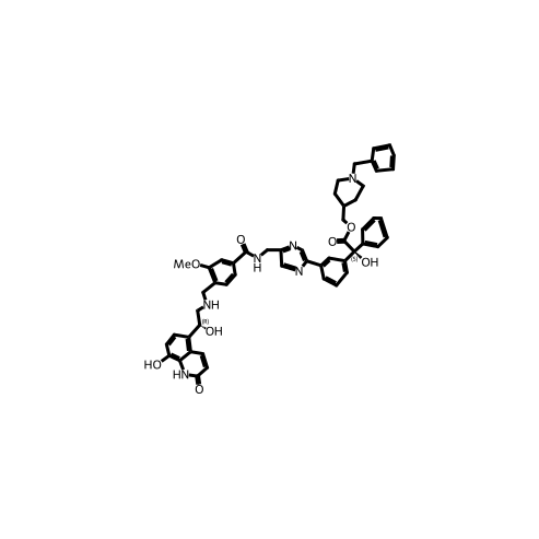 COc1cc(C(=O)NCc2cnc(-c3cccc([C@](O)(C(=O)OCC4CCN(Cc5ccccc5)CC4)c4ccccc4)c3)cn2)ccc1CNC[C@H](O)c1ccc(O)c2[nH]c(=O)ccc12